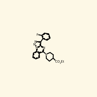 CCOC(=O)C1CCN(c2nc3c(-c4ccccc4F)nnn3c3ccccc23)CC1